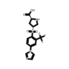 O=C(O)[C@@H]1C[C@@H](S(=O)(=O)c2ccc(-n3ccnc3)cc2C(F)(F)F)CN1